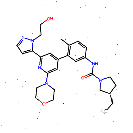 Cc1ccc(NC(=O)N2CC[C@@H](CC(F)(F)F)C2)cc1-c1cc(-c2ccnn2CCO)nc(N2CCOCC2)c1